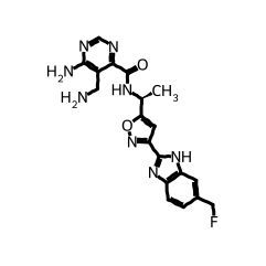 C[C@H](NC(=O)c1ncnc(N)c1CN)c1cc(-c2nc3ccc(CF)cc3[nH]2)no1